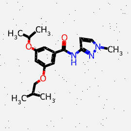 CC(C)COc1cc(OC(C)C)cc(C(=O)Nc2ccn(C)n2)c1